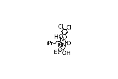 CCOC(O)CNC(=O)[C@H](Cc1ccc(Cl)c(Cl)c1)N(O)C(=O)CCC(C)C